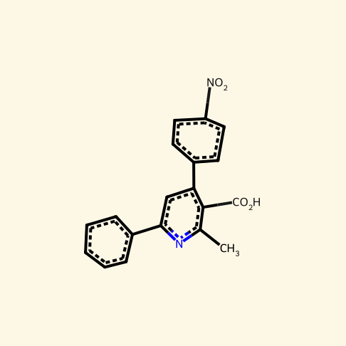 Cc1nc(-c2ccccc2)cc(-c2ccc([N+](=O)[O-])cc2)c1C(=O)O